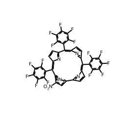 O=[N+]([O-])c1cc2[nH]c1C(c1c(F)c(F)c(F)c(F)c1F)=C1C=CC(=N1)C(c1c(F)c(F)c(F)c(F)c1F)=C1C=CC(=N1)C(c1c(F)c(F)c(F)c(F)c1F)=C1C=CC2=N1